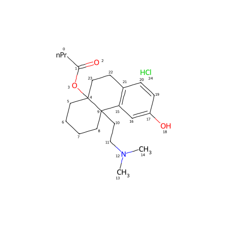 CCCC(=O)OC12CCCCC1(CCN(C)C)c1cc(O)ccc1CC2.Cl